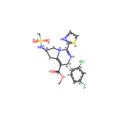 COC(=O)C1=C2C[C@@H](NS(C)(=O)=O)CN2C(c2nccs2)=N[C@@H]1c1ccc(F)cc1Cl